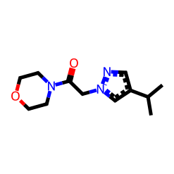 CC(C)c1cnn(CC(=O)N2CCOCC2)c1